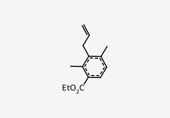 C=CCc1c(C)ccc(C(=O)OCC)c1C